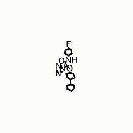 O=C(Nc1ccc(F)cc1)C(Oc1ccc(-c2ccccc2)cc1)n1cncn1